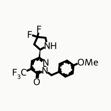 COc1ccc(Cn2nc([C@H]3CC(F)(F)CN3)cc(C(F)(F)F)c2=O)cc1